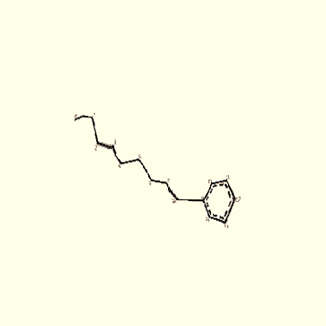 CCCCCCCC[CH]c1ccccc1